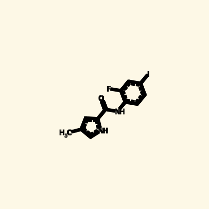 Cc1c[nH]c(C(=O)Nc2ccc(I)cc2F)c1